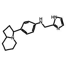 c1c[nH]c(CNc2ccc(C3CCC4CCCCN43)cc2)n1